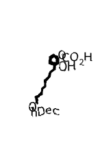 CCCCCCCCCCOCCCCCCCCCc1cccc(OC(=O)O)c1O